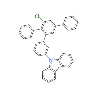 Clc1cc(-c2ccccc2)cc(-c2cccc(-n3c4ccccc4c4ccccc43)c2)c1-c1ccccc1